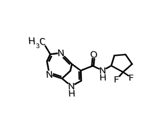 CC1=CN=C2CC(=N1)C(C(=O)NC1CCCC1(F)F)=CN2